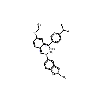 CN(/N=C1/C=CC(NCC(F)(F)F)=N/C1=C(/C=O)c1ccc(C(F)F)nc1)c1ccc2nn(C)cc2c1